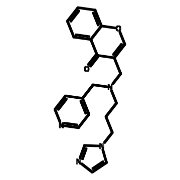 O=c1c(CN(CCCn2ccnc2)Cc2ccncc2)coc2ccccc12